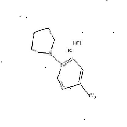 Cl.Cl.Nc1ccc(N2CCCCC2)cc1